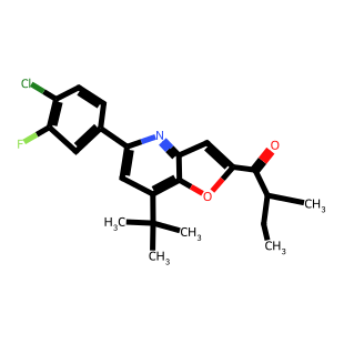 CCC(C)C(=O)c1cc2nc(-c3ccc(Cl)c(F)c3)cc(C(C)(C)C)c2o1